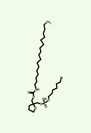 CCCCCCCCCCCCCCCCCCNC(=O)OCC1(COP(=O)(O)OCCCCCCBr)CCCO1